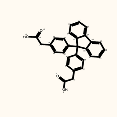 O=C(O)Cc1ccc(C2(c3ccc(CC(=O)O)cc3)c3ccccc3-c3ccccc32)cc1